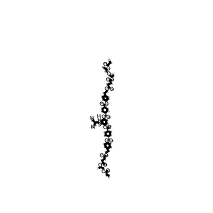 C=CC(=O)OCC(C)OC(=O)CCC(=O)OCCc1ccc(OC(=O)[C@H]2CC[C@H](C(=O)Oc3ccc(OC(=O)[C@H]4CC[C@H](C(=O)Oc5ccc(CCOC(=O)CCC(=O)OC(C)COCC(C)OC(=O)C=C)cc5)CC4)c4c3SC(=C(C#N)C#N)N4)CC2)cc1